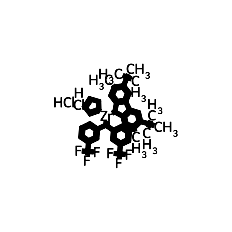 Cc1cc2c(cc1C(C)(C)C)-c1cc(C(C)(C)C)c(C)cc1[CH]2[Zr]([C]1=CC=CC1)=[C](c1cccc(C(F)(F)F)c1)c1cccc(C(F)(F)F)c1.Cl.Cl